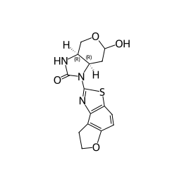 O=C1N[C@H]2COC(O)C[C@H]2N1c1nc2c3c(ccc2s1)OCC3